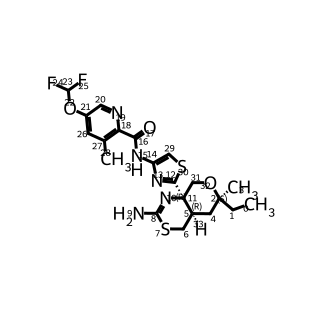 CC[C@@]1(C)C[C@H]2CSC(N)=N[C@@]2(c2nc(NC(=O)c3ncc(OC(F)F)cc3C)cs2)CO1